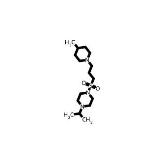 CC1CCN(CCCS(=O)(=O)N2CCN(C(C)C)CC2)CC1